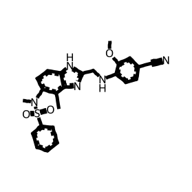 COc1cc(C#N)ccc1NCc1nc2c(C)c(N(C)S(=O)(=O)c3ccccc3)ccc2[nH]1